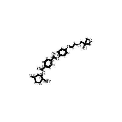 CCC1(COCCOc2ccc(OC(=O)c3ccc(C(=O)OC4CC(C)CCC4C(C)C)cc3)cc2)COC1